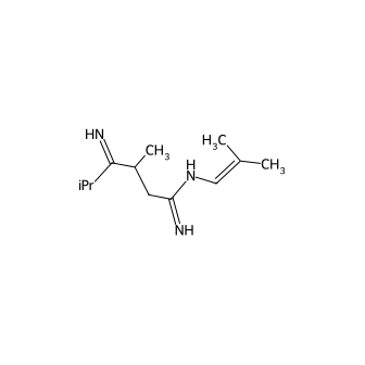 CC(C)=CNC(=N)CC(C)C(=N)C(C)C